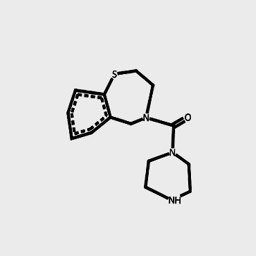 O=C(N1CCNCC1)N1CCSc2ccccc2C1